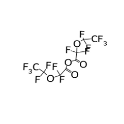 O=C(OC(=O)C(F)(F)OC(F)(F)C(F)(F)F)C(F)(F)OC(F)(F)C(F)(F)F